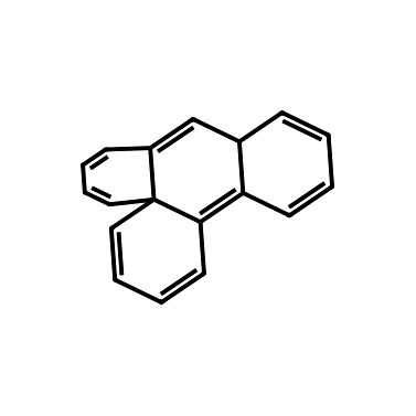 C1=CC2=CC3C=CC=CC3=C3C=CC=CC23C=C1